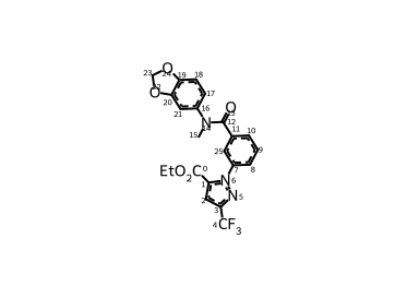 CCOC(=O)c1cc(C(F)(F)F)nn1-c1cccc(C(=O)N(C)c2ccc3c(c2)OCO3)c1